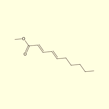 CCCCCC=CC=CC(=O)OC